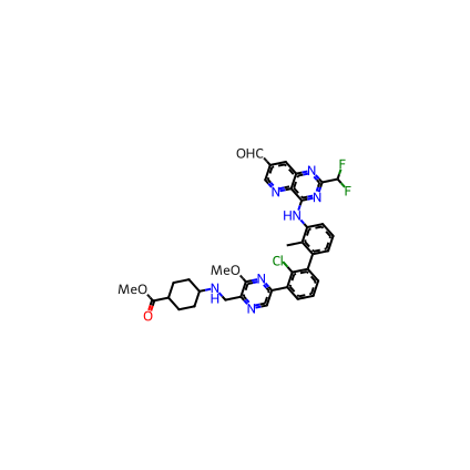 COC(=O)C1CCC(NCc2ncc(-c3cccc(-c4cccc(Nc5nc(C(F)F)nc6cc(C=O)cnc56)c4C)c3Cl)nc2OC)CC1